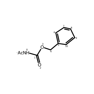 CC(=O)[N]C(=O)OCc1ccccc1